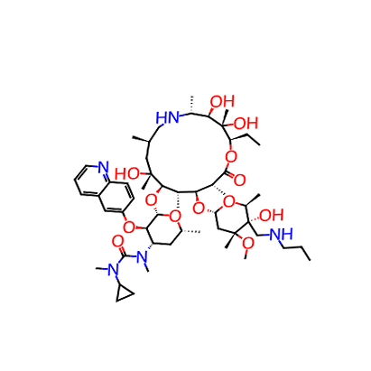 CCCNC[C@]1(O)[C@H](C)O[C@@H](O[C@H]2[C@H](C)[C@@H](O[C@@H]3O[C@H](C)C[C@H](N(C)C(=O)N(C)C4CC4)[C@H]3Oc3ccc4ncccc4c3)[C@](C)(O)C[C@@H](C)CN[C@H](C)[C@@H](O)[C@](C)(O)[C@@H](CC)OC(=O)[C@@H]2C)C[C@@]1(C)OC